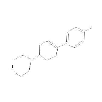 Fc1ccc(C2=CCC(N3CCNCC3)CC2)cc1